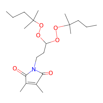 CCCC(C)(C)OOC(CCN1C(=O)C(C)=C(C)C1=O)OOC(C)(C)CCC